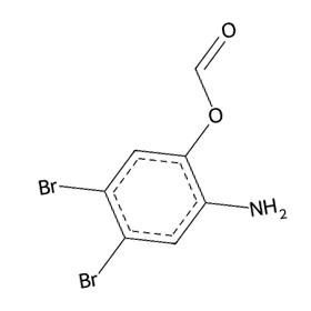 Nc1cc(Br)c(Br)cc1OC=O